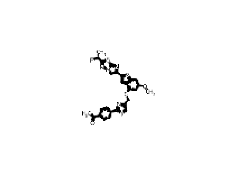 COc1cc(OCc2csc(-c3ccc(C(C)=O)cc3)n2)c2cc(-c3cn4nc([C@H](C)F)sc4n3)oc2c1